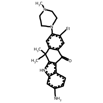 CCc1cc2c(cc1N1CCN(C)CC1)C(C)(C)c1[nH]c3cc(N)ccc3c1C2=O